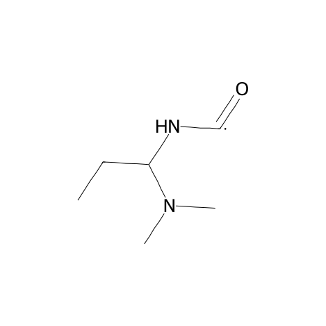 CCC(N[C]=O)N(C)C